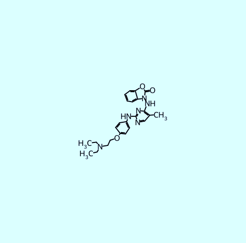 CCN(CC)CCOc1ccc(Nc2ncc(C)c(Nn3c(=O)oc4ccccc43)n2)cc1